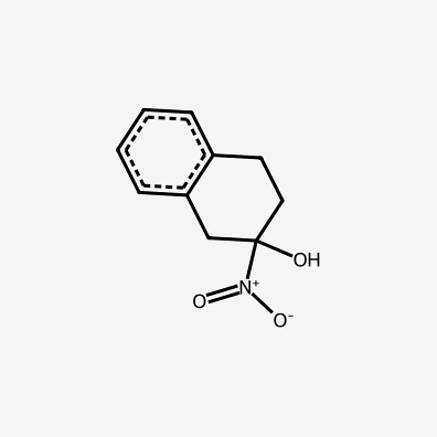 O=[N+]([O-])C1(O)CCc2ccccc2C1